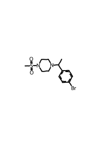 CC(c1ccc(Br)cc1)N1CCN(S(C)(=O)=O)CC1